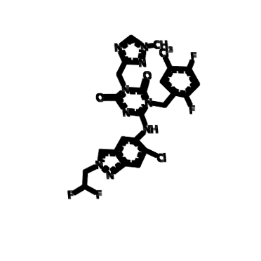 Cn1cnc(Cn2c(=O)nc(Nc3cc4cn(CC(F)F)nc4cc3Cl)n(Cc3cc(Cl)c(F)cc3F)c2=O)n1